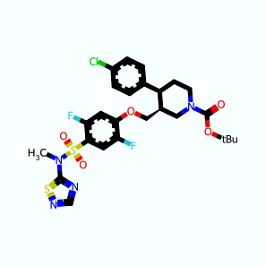 CN(c1ncns1)S(=O)(=O)c1cc(F)c(OC[C@@H]2CN(C(=O)OC(C)(C)C)CCC2c2ccc(Cl)cc2)cc1F